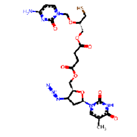 Cc1cn([C@H]2CC(N=[N+]=[N-])[C@@H](COC(=O)CCC(=O)OC[C@@H](CS)OCn3ccc(N)nc3=O)O2)c(=O)[nH]c1=O